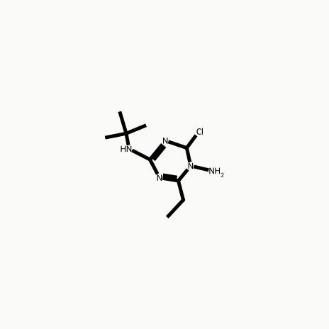 CCC1=NC(NC(C)(C)C)=NC(Cl)N1N